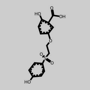 O=C(O)c1cc(OCCS(=O)(=O)c2ccc(O)cc2)ccc1O